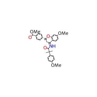 COC(=O)c1ccc([C@H]2C[C@@H](NC(=O)C(C)(C)c3ccc(OC)cc3)c3ccc(OC)cc3O2)cc1